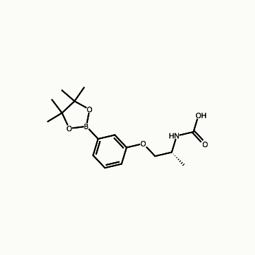 C[C@H](COc1cccc(B2OC(C)(C)C(C)(C)O2)c1)NC(=O)O